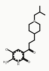 CC(C)CN1CCC(CCC(=O)c2cc(Cl)c(N)[nH]c2=O)CC1